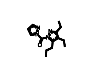 CCCc1c(CC)c(CC)nn1C(=O)n1cccn1